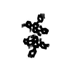 Cc1ccccc1-c1c2nc(N3CCNCC3)cc(-c3ccc(F)cc3F)c2cc[n+]1[O-].[O-][n+]1ccc2c(-c3ccc(F)cc3F)cc(N3CCNCC3)nc2c1-c1c(F)cccc1F